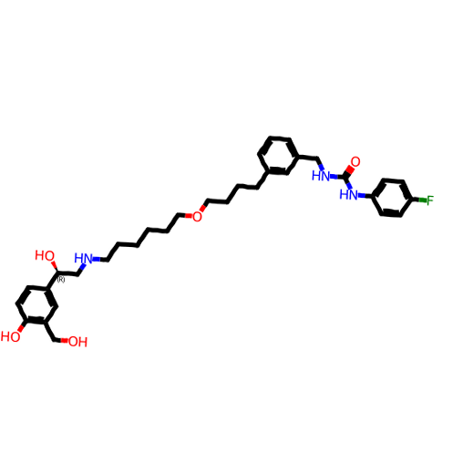 O=C(NCc1cccc(CCCCOCCCCCCNC[C@H](O)c2ccc(O)c(CO)c2)c1)Nc1ccc(F)cc1